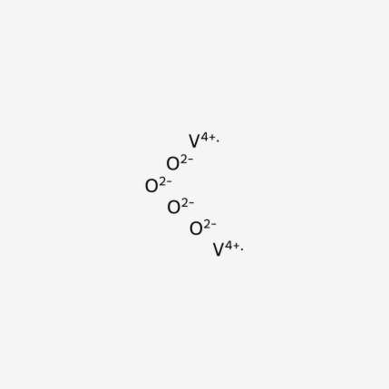 [O-2].[O-2].[O-2].[O-2].[V+4].[V+4]